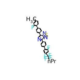 CCCC(F)(F)C(F)(F)c1ccc(-c2ccc(-c3ncc(-c4ccc(-c5ccc(C)cc5F)cc4)c4nsnc34)cc2)c(F)c1